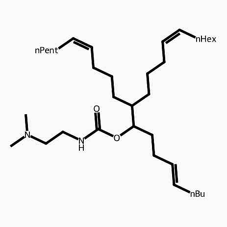 CCCC/C=C/CCC(OC(=O)NCCN(C)C)C(CCC/C=C\CCCCC)CCC/C=C\CCCCCC